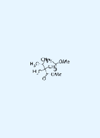 COC(=O)C(C)(C)C(C)C#N.COC(=O)C(C)C